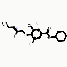 Cl.NC/C=C(\F)COc1c(Cl)cc(C(=O)NC2CCCCC2)cc1Cl